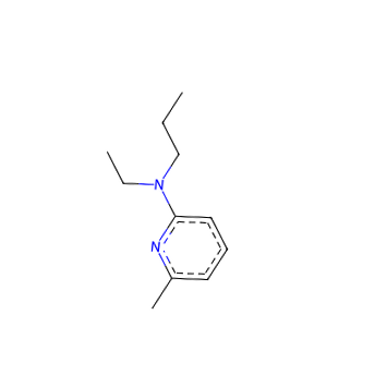 CCCN(CC)c1cccc(C)n1